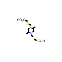 CC1CN(CSCC(=O)O)C(C)CN1CSCC(=O)O